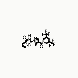 Cc1c(C(=O)N2CC(C(F)(F)F)CC(C(F)(F)F)C2)cnn1-c1nn2cccc2c(=O)[nH]1